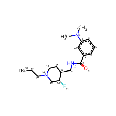 CN(C)c1cccc(C(=O)NC[C@@H]2CCN(CCC(C)(C)C)C[C@@H]2F)c1